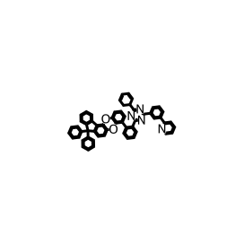 C1=CCC(c2nc(-c3cccc(-c4ccccn4)c3)nc(-c3ccccc3-c3cccc4c3Oc3ccc5c(c3O4)-c3ccccc3C5(c3ccccc3)c3ccccc3)n2)C=C1